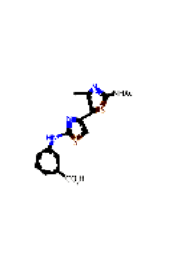 CC(=O)Nc1nc(C)c(-c2csc(Nc3cccc(C(=O)O)c3)n2)s1